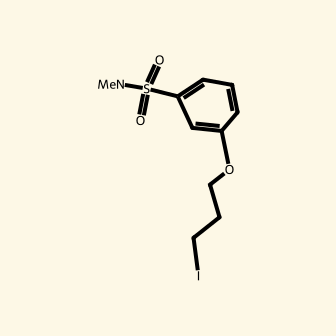 CNS(=O)(=O)c1cccc(OCCCI)c1